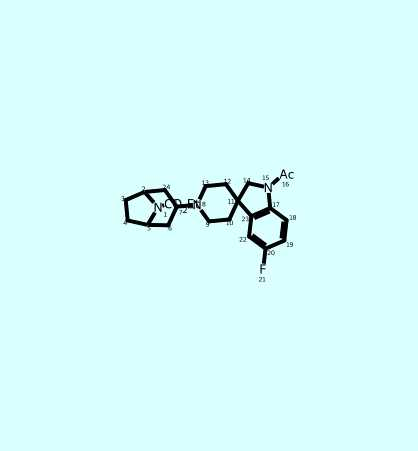 CCOC(=O)N1C2CCC1CC(N1CCC3(CC1)CN(C(C)=O)c1ccc(F)cc13)C2